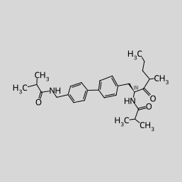 CCCC(C)C(=O)[C@H](Cc1ccc(-c2ccc(CNC(=O)C(C)C)cc2)cc1)NC(=O)C(C)C